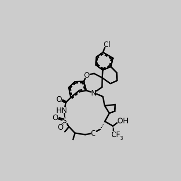 CC1CCC[C@@H]([C@@H](O)C(F)(F)F)C2CCC2CN2CC3(CCCc4cc(Cl)ccc43)COc3ccc(cc32)C(=O)NS(=O)(=O)C1C